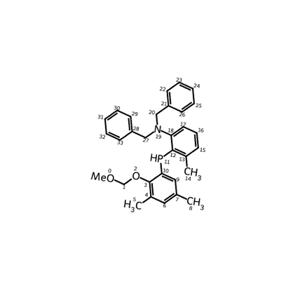 COCOc1c(C)cc(C)cc1Pc1c(C)cccc1N(Cc1ccccc1)Cc1ccccc1